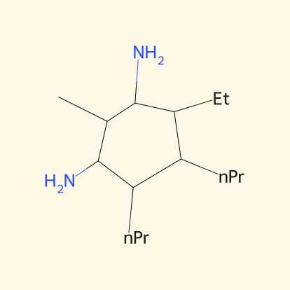 CCCC1C(N)C(C)C(N)C(CC)C1CCC